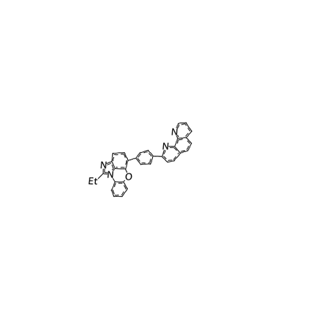 CCc1nc2ccc(-c3ccc(-c4ccc5ccc6cccnc6c5n4)cc3)c3c2n1-c1ccccc1O3